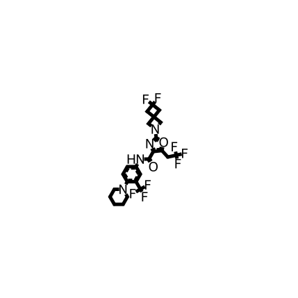 O=C(Nc1ccc(N2CCCCC2)c(C(F)(F)F)c1)c1nc(N2CC3(C2)CC(F)(F)C3)oc1CC(F)(F)F